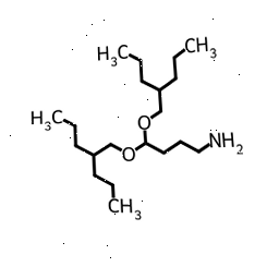 CCCC(CCC)COC(CCCN)OCC(CCC)CCC